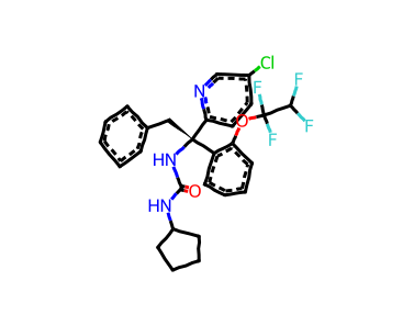 O=C(NC1CCCC1)N[C@](Cc1ccccc1)(c1ccc(Cl)cn1)c1ccccc1OC(F)(F)C(F)F